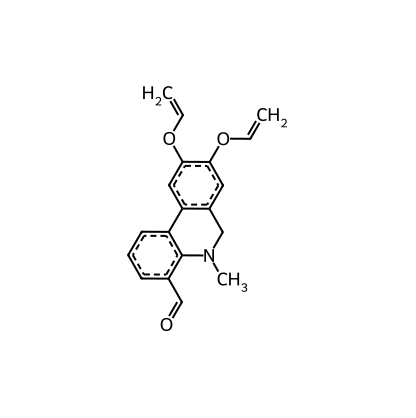 C=COc1cc2c(cc1OC=C)-c1cccc(C=O)c1N(C)C2